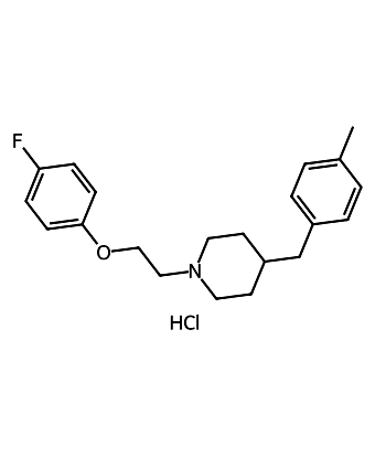 Cc1ccc(CC2CCN(CCOc3ccc(F)cc3)CC2)cc1.Cl